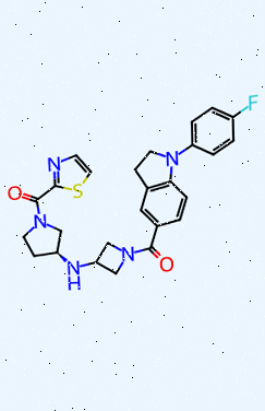 O=C(c1ccc2c(c1)CCN2c1ccc(F)cc1)N1CC(N[C@H]2CCN(C(=O)c3nccs3)C2)C1